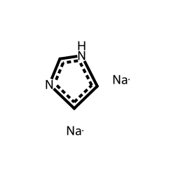 [Na].[Na].c1c[nH]cn1